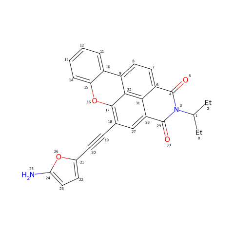 CCC(CC)n1c(=O)c2ccc3c4ccccc4oc4c(C#Cc5ccc(N)o5)cc(c1=O)c2c43